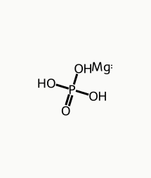 O=P(O)(O)O.[Mg]